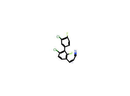 N#C/C=C\c1ccc(Cl)c(-c2ccc(F)c(Cl)c2)c1F